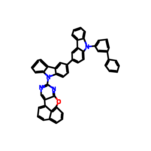 c1ccc(-c2cccc(-n3c4ccccc4c4cc(-c5ccc6c(c5)c5ccccc5n6-c5ncc6c(n5)Oc5cccc7cccc-6c57)ccc43)c2)cc1